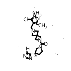 Cc1nn(C)c(Cl)c1CN1CC2(C1)CN(C(=O)N1CC[C@H](c3ncn[nH]3)C1)C2